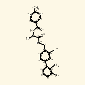 CCN(NC(=O)c1cnc(C)nc1)C(=O)NCc1ccc(-c2cccc(F)c2C(F)(F)F)cc1F